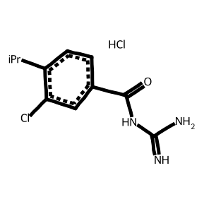 CC(C)c1ccc(C(=O)NC(=N)N)cc1Cl.Cl